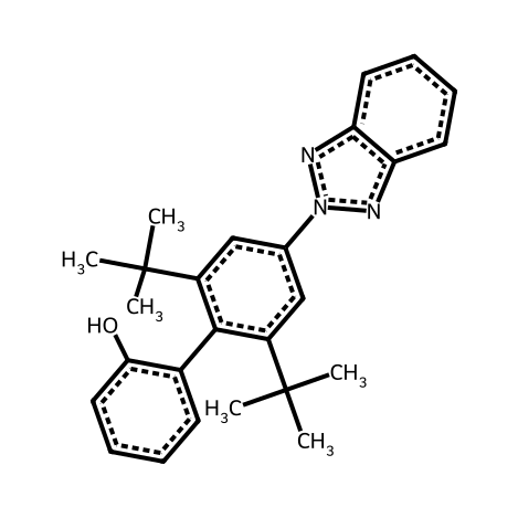 CC(C)(C)c1cc(-n2nc3ccccc3n2)cc(C(C)(C)C)c1-c1ccccc1O